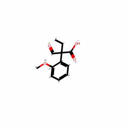 CCC(C=O)(C(=O)O)c1ccccc1OC